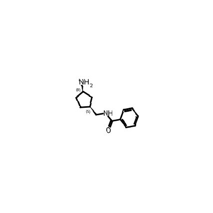 N[C@@H]1CC[C@H](CNC(=O)c2ccccc2)C1